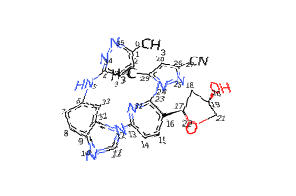 Cc1ccc(Nc2ccc3ncn(-c4ccc([C@H]5C[C@@H](O)CO5)c(-n5nc(C#N)cc5C)n4)c3c2)nn1